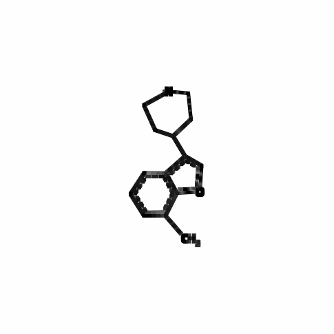 Cc1cccc2c(C3CC[N]CC3)coc12